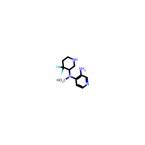 Nc1cnccc1N(C(=O)O)C1CNCCC1(F)F